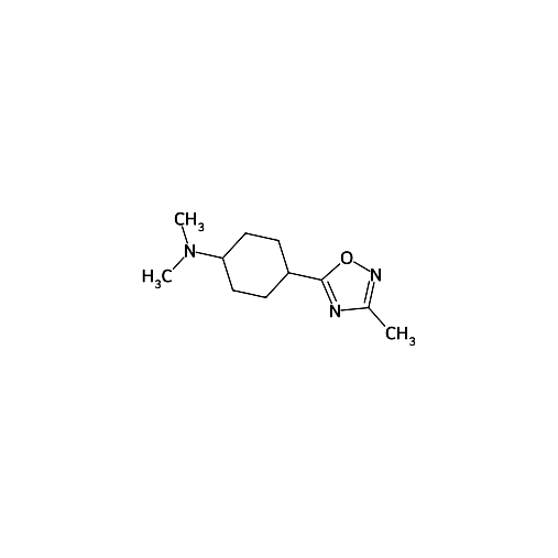 Cc1noc(C2CCC(N(C)C)CC2)n1